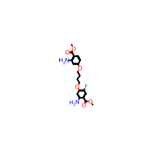 COC(=O)c1ccc(OCCCCOc2cc(N)c(C(=O)OC)cc2F)cc1N